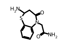 NC(=O)CN1C(=O)CC(N)Sc2ccccc21